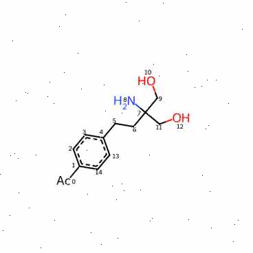 CC(=O)c1ccc(CCC(N)(CO)CO)cc1